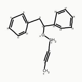 CC#C[SiH2]OC(Cc1ccccc1)c1ccccc1